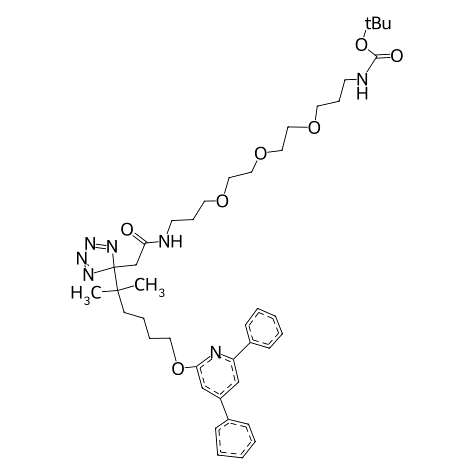 CC(C)(C)OC(=O)NCCCOCCOCCOCCCNC(=O)CC1(C(C)(C)CCCCOc2cc(-c3ccccc3)cc(-c3ccccc3)n2)N=NN=N1